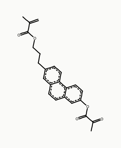 C=C(C)C(=O)OCCCc1ccc2c(ccc3cc(OC(=O)C(C)=O)ccc32)c1